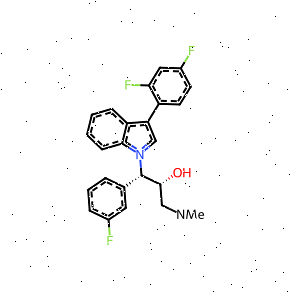 CNC[C@@H](O)[C@H](c1cccc(F)c1)n1cc(-c2ccc(F)cc2F)c2ccccc21